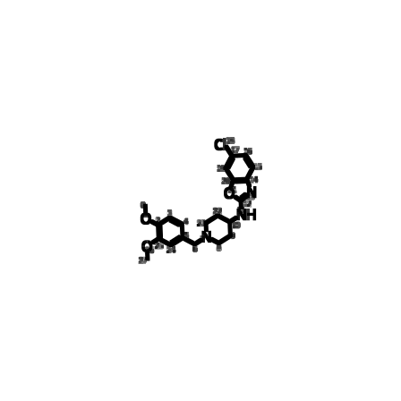 COc1ccc(CN2CCC(Nc3nc4ccc(Cl)cc4o3)CC2)cc1OC